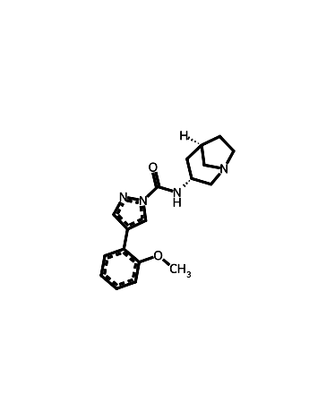 COc1ccccc1-c1cnn(C(=O)N[C@@H]2C[C@H]3CCN(C3)C2)c1